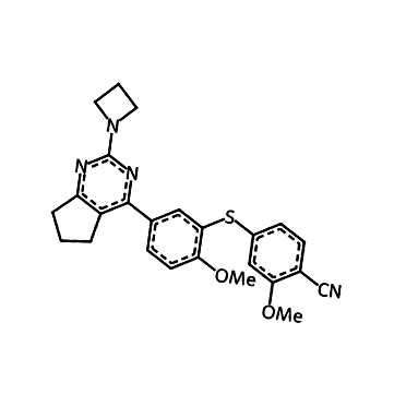 COc1cc(Sc2cc(-c3nc(N4CCC4)nc4c3CCC4)ccc2OC)ccc1C#N